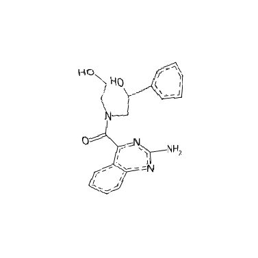 Nc1nc(C(=O)N(CCO)CC(O)c2ccccc2)c2ccccc2n1